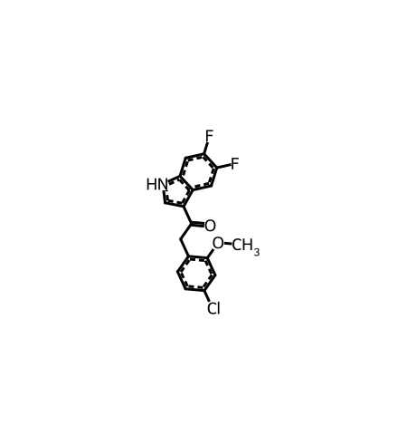 COc1cc(Cl)ccc1CC(=O)c1c[nH]c2cc(F)c(F)cc12